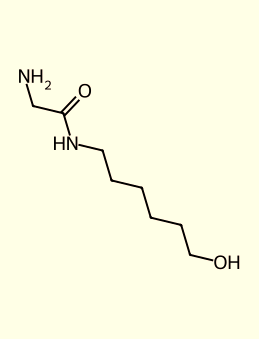 NCC(=O)NCCCCCCO